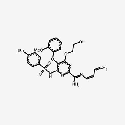 C=C/C=C\N=C(/N)c1nc(NS(=O)(=O)c2ccc(C(C)(C)C)cc2)c(Oc2ccccc2OC)c(OCCO)n1